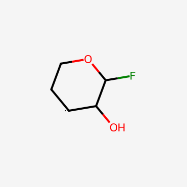 OC1[CH]CCOC1F